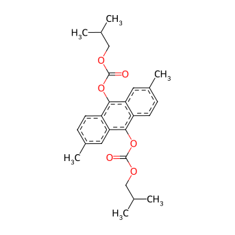 Cc1ccc2c(OC(=O)OCC(C)C)c3cc(C)ccc3c(OC(=O)OCC(C)C)c2c1